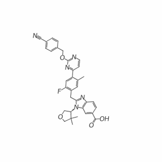 Cc1cc(Cc2nc3ccc(C(=O)O)cc3n2[C@@H]2COCC2(C)C)c(F)cc1-c1ccnc(OCc2ccc(C#N)cc2)n1